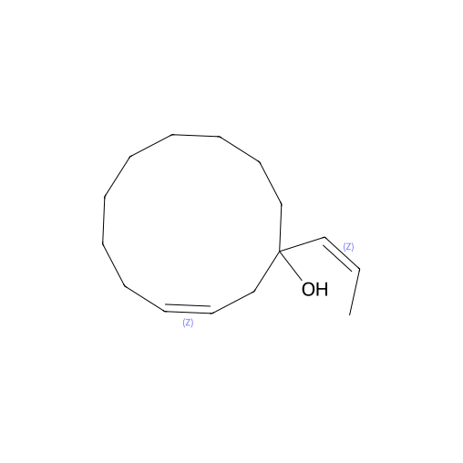 C/C=C\C1(O)C/C=C\CCCCCCCC1